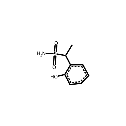 CC(c1ccccc1O)S(N)(=O)=O